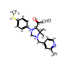 CC(C)c1cc(CN2CN(c3ccc(SC(F)(F)F)cc3)C(C(=O)C=O)C2(C)C)ccn1